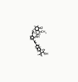 CC(OC(=O)Nc1c(C#Cc2cc3cc(C4(C(=O)O)CC4)sc3s2)nsc1C#N)c1ccccc1Cl